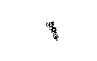 C=CC[C@H](NC(=O)OC)C1CCC(CO[Si](C)(C)C(C)(C)C)CC1